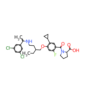 C=C(NCCC(CC)COc1cc(F)c(C(=O)N2CCCC2C(=O)O)cc1C1CC1)c1cc(Cl)cc(Cl)c1